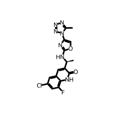 Cc1nnnn1-c1coc(N[C@@H](C)c2cc3cc(Cl)cc(F)c3[nH]c2=O)n1